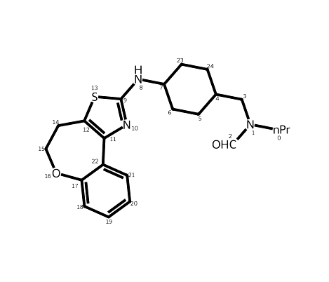 CCCN(C=O)CC1CCC(Nc2nc3c(s2)CCOc2ccccc2-3)CC1